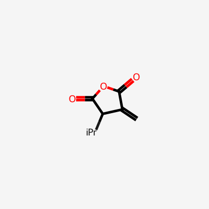 C=C1C(=O)OC(=O)C1C(C)C